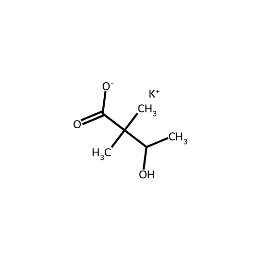 CC(O)C(C)(C)C(=O)[O-].[K+]